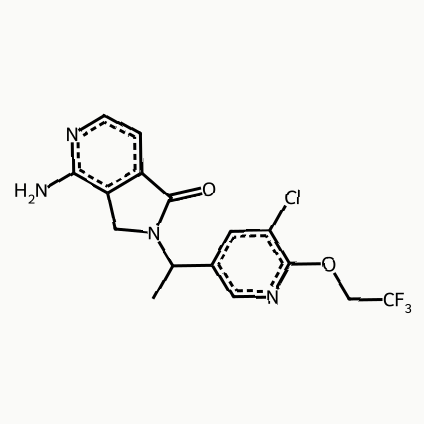 CC(c1cnc(OCC(F)(F)F)c(Cl)c1)N1Cc2c(ccnc2N)C1=O